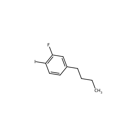 CCCCc1ccc(I)c(F)c1